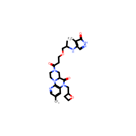 CC(COCCC(=O)N1CCN2c3ncc(C(F)(F)F)cc3N(CC3CCO3)C(=O)C2C1)Nc1cn[nH]c(=O)c1C(F)(F)F